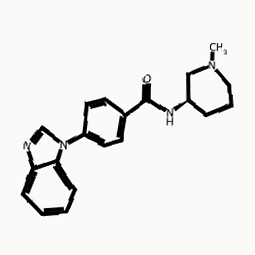 CN1CCC[C@@H](NC(=O)c2ccc(-n3cnc4ccccc43)cc2)C1